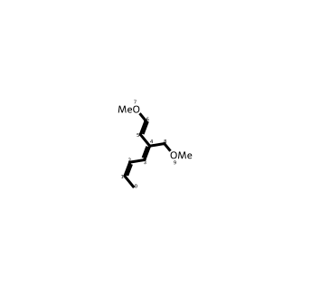 C\C=C/C=C(\C=C\OC)COC